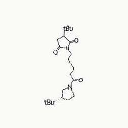 CC(C)(C)C1CC(=O)N(CCCCC(=O)N2CC[C@H](C(C)(C)C)C2)C1=O